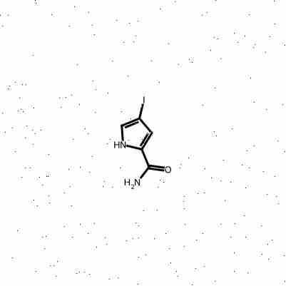 NC(=O)c1cc(I)c[nH]1